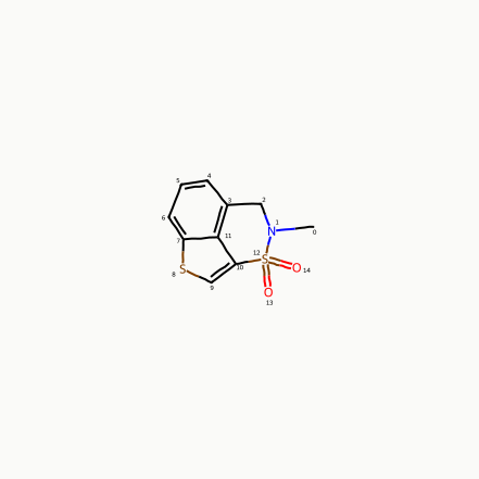 CN1Cc2cccc3scc(c23)S1(=O)=O